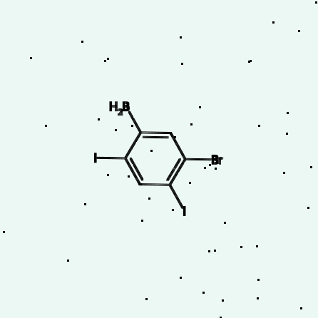 Bc1cc(Br)c(I)cc1I